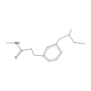 CCC(C)Cc1cccc(CCC(=O)NC)c1